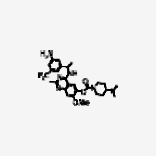 COc1cc2nc(C)nc(NC(C)c3cc(N)cc(C(F)(F)F)c3)c2cc1OC(=O)N1CCC(N(C)C)CC1